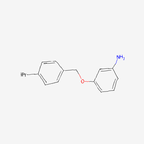 CC(C)c1ccc(COc2cccc(N)c2)cc1